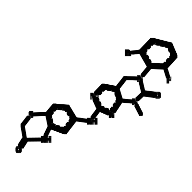 CN1C(=O)N(c2c(F)cccc2Br)Cc2cnc(Nc3ccc4c(c3)NC(=O)CS4)nc21